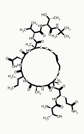 CC[C@H](C)[C@@H]1NC(=O)[C@H](C)NC(=O)[C@@](C)(NC(=O)[C@H](CCC(N)=O)NC(=O)[C@H](N)[C@@H](C)O)CCC/C=C/CCC[C@@](C)(C(=O)N[C@H](C(=O)N[C@H](C(=O)NC(C)(C)C)[C@@H](C)O)C(C)C)NC(=O)[C@H](CC(=O)O)NC1=O